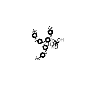 CC(=O)c1ccc(Sc2ccc([S+](c3ccc(Sc4ccc(C(C)=O)cc4)cc3)c3ccc(Sc4ccc(C(C)=O)cc4)cc3)cc2)cc1.NC(CO)(CO)CO